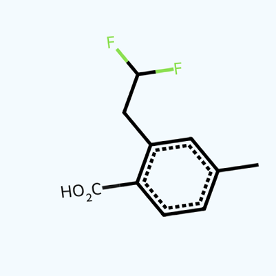 Cc1ccc(C(=O)O)c(CC(F)F)c1